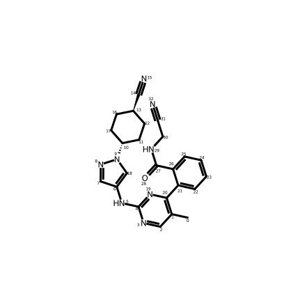 Cc1cnc(Nc2cnn([C@H]3CC[C@H](C#N)CC3)c2)nc1-c1ccccc1C(=O)NCC#N